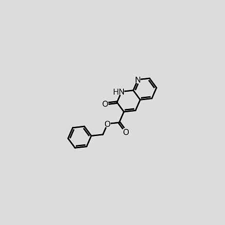 O=C(OCc1ccccc1)c1cc2cccnc2[nH]c1=O